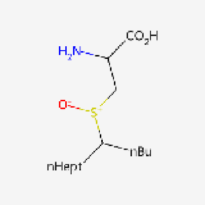 CCCCCCCC(CCCC)[S+]([O-])CC(N)C(=O)O